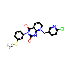 O=c1nc2n(Cc3ccc(Cl)nc3)cccc-2c(=O)n1-c1cccc(SC(F)(F)F)c1